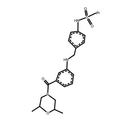 CC1CN(C(=O)c2cccc(NCc3ccc(NS(=O)(=O)C(C)C)cc3)c2)CC(C)O1